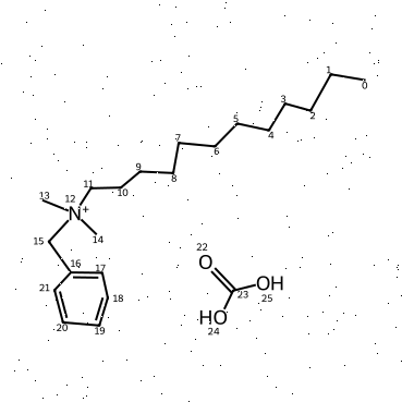 CCCCCCCCCCCC[N+](C)(C)Cc1ccccc1.O=C(O)O